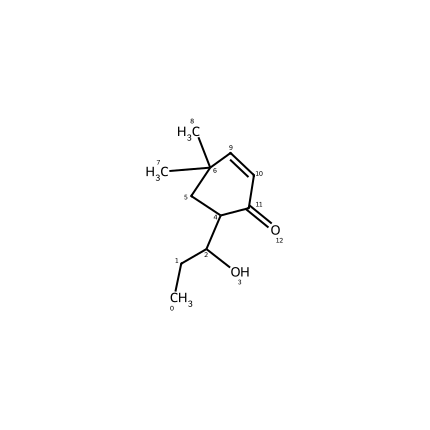 CCC(O)C1CC(C)(C)C=CC1=O